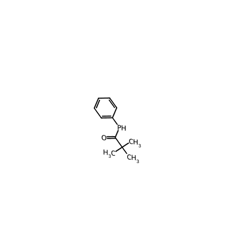 CC(C)(C)C(=O)Pc1ccccc1